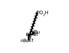 CCCCC(CC)COC(=O)C(CCCCCCCCCCCCCCCC(=O)O)CC(CC)CCCC